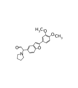 COc1ccc(-c2cc3cc(C(C=O)N4CCCC4)ccc3o2)cc1OC